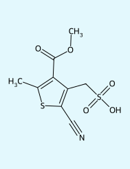 COC(=O)c1c(C)sc(C#N)c1CS(=O)(=O)O